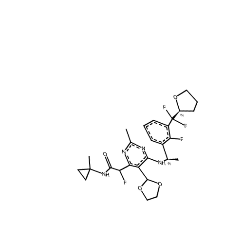 Cc1nc(N[C@H](C)c2cccc(C(F)(F)[C@@H]3CCCO3)c2F)c(C2OCCO2)c(C(F)C(=O)NC2(C)CC2)n1